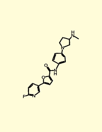 CNC1CCN(c2ccc(NC(=O)c3ccc(-c4ccc(F)nc4)o3)cc2)C1